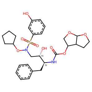 O=C(N[C@@H](Cc1ccccc1)[C@@H](O)CN(OC1CCCC1)S(=O)(=O)c1cccc(O)c1)OC1COC2OCCC12